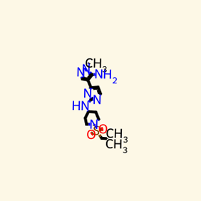 CC(C)CS(=O)(=O)N1CCC(Nc2nccc(-c3cnn(C)c3N)n2)CC1